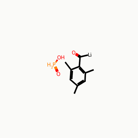 O=[PH2]O.[Li][C](=O)c1c(C)cc(C)cc1C